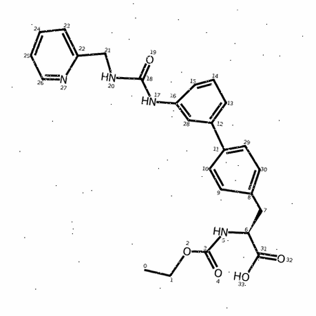 CCOC(=O)N[C@@H](Cc1ccc(-c2cccc(NC(=O)NCc3ccccn3)c2)cc1)C(=O)O